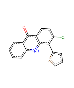 O=c1c2ccccc2[nH]c2c(-c3cccs3)c(Cl)ccc12